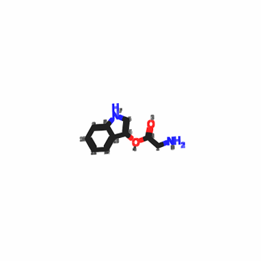 NCC(=O)Oc1c[nH]c2ccccc12